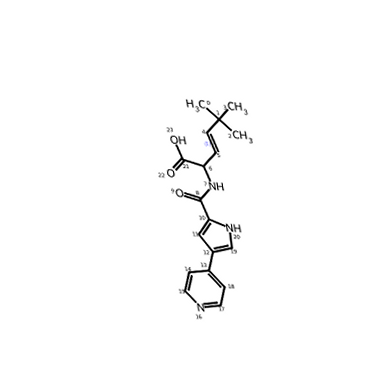 CC(C)(C)/C=C/C(NC(=O)c1cc(-c2ccncc2)c[nH]1)C(=O)O